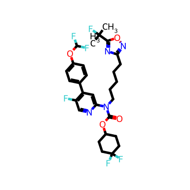 CC(C)(F)c1nc(CCCCCN(C(=O)OC2CCC(F)(F)CC2)c2cc(-c3ccc(OC(F)F)cc3)c(F)cn2)no1